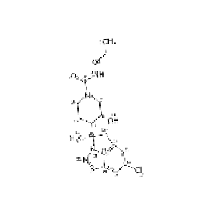 CCONC(=O)N1CCC(C2(C)[C@H](O)c3cc(Cl)cc4cnn2c34)CC1